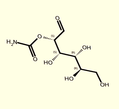 NC(=O)O[C@H](C=O)[C@@H](O)[C@H](O)[C@H](O)CO